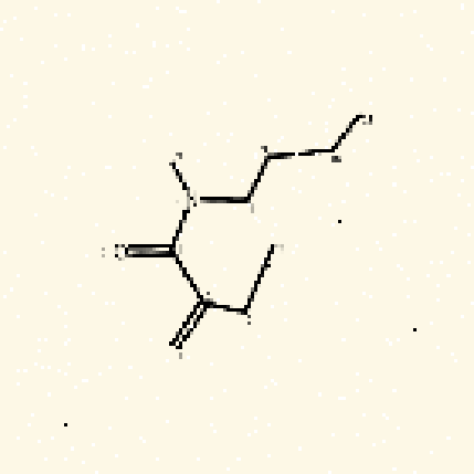 C=C(CC)C(=O)N(C)CCCC